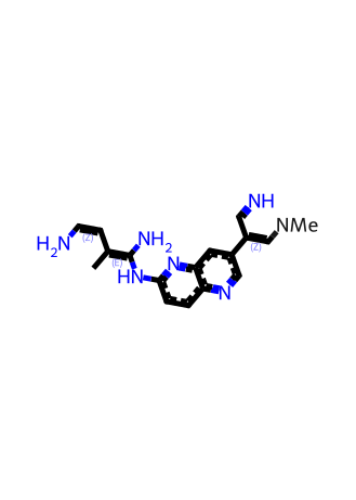 CN/C=C(\C=N)c1cnc2ccc(N/C(N)=C(C)/C=C\N)nc2c1